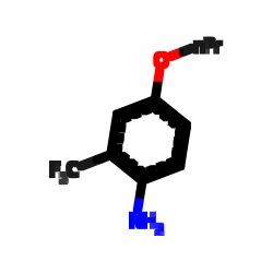 CCCOc1ccc(N)c(C(F)(F)F)c1